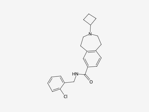 O=C(NCc1ccccc1Cl)c1ccc2c(c1)CCN(C1CCC1)CC2